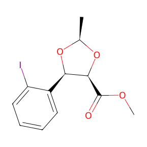 COC(=O)[C@@H]1O[C@H](C)O[C@@H]1c1ccccc1I